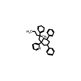 CCCC(C)(CC1(c2ccccn2)CC(c2ccccc2)CC(c2ccccc2)C1)C1=CCCC=C1